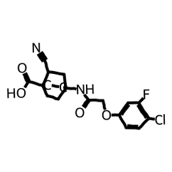 N#CC1CC2(NC(=O)COc3ccc(Cl)c(F)c3)CCC1(C(=O)O)CC2